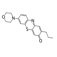 CCCc1cc2nc3ccc(N4CCOCC4)cc3sc-2cc1=O